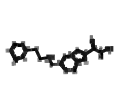 O=C(NO)c1cc2cc(CNCCc3cccnc3)ccc2o1